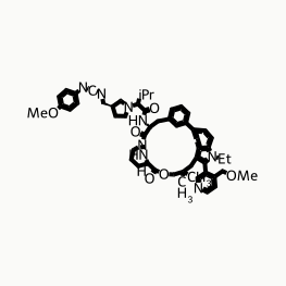 CCn1c(-c2cnccc2COC)c2c3cc(ccc31)-c1cccc(c1)C[C@H](NC(=O)C(C(C)C)N1CC[C@@H](CN=C=Nc3ccc(OC)cc3)C1)C(=O)N1CCC[C@H](N1)C(=O)OCC(C)(C)C2